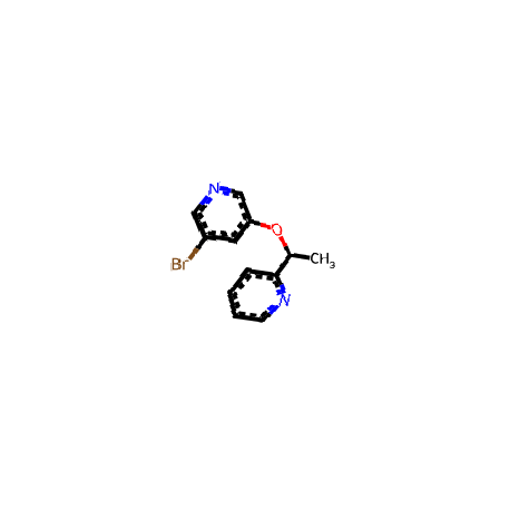 CC(Oc1cncc(Br)c1)c1ccccn1